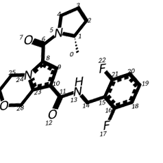 C[C@H]1CCCN1C(=O)c1cc(C(=O)NCc2c(F)cccc2F)c2n1CCOC2